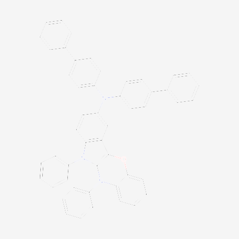 c1ccc(-c2ccc(N(c3ccc(-c4ccccc4)cc3)c3ccc4c(c3)c3c(n4-c4ccccc4)N(c4ccccc4)c4ccccc4O3)cc2)cc1